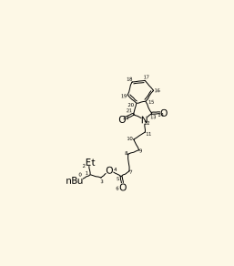 CCCCC(CC)COC(=O)CCCCCN1C(=O)c2ccccc2C1=O